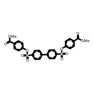 COC(=O)c1ccc(OS(=O)(=O)c2ccc(-c3ccc(S(=O)(=O)Oc4ccc(C(=O)OC)cc4)cc3)cc2)cc1